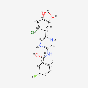 Cc1ccc(F)cc1C(=O)Nc1cnc(-c2cc3c(cc2Cl)OCO3)cn1